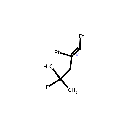 CC/C=C(\CC)CC(C)(C)F